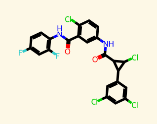 O=C(Nc1ccc(F)cc1F)c1cc(NC(=O)C2C(Cl)C2c2cc(Cl)cc(Cl)c2)ccc1Cl